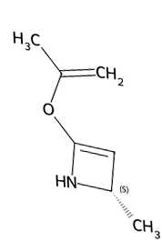 C=C(C)OC1=C[C@H](C)N1